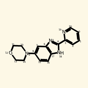 c1ccc(-c2nc3cc(N4CCOCC4)ccc3[nH]2)nc1